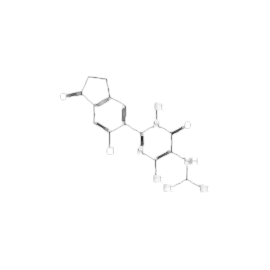 CCc1nc(-c2cc3c(cc2Cl)C(=O)CC3)n(CC)c(=O)c1NC(CC)CC